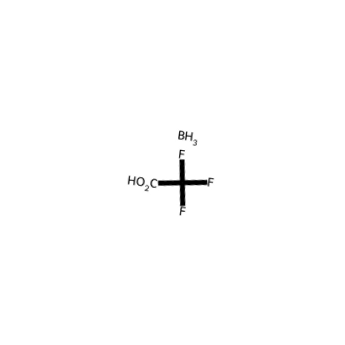 B.O=C(O)C(F)(F)F